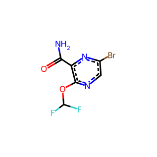 NC(=O)c1nc(Br)cnc1OC(F)F